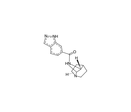 C[C@H]1[C@H](NC(=O)c2ccc3cn[nH]c3c2)C2CCN1CC2